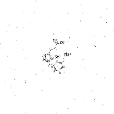 O=C([O-])CCc1nnn(Cc2ccccc2)c1S.[Na+]